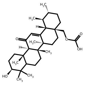 C[C@H]1[C@H](C)CC[C@]2(COC(=O)O)CC[C@]3(C)C(=CC(=O)[C@@H]4[C@@]5(C)CC[C@H](O)C(C)(C)C5CC[C@]43C)[C@H]12